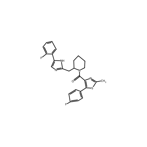 Cc1nc(C(=O)N2CCCCC2Cc2ncc(-c3ccccc3F)[nH]2)c(-c2ccc(F)cc2)s1